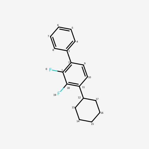 Fc1c(-c2ccccc2)ccc(C2CCCCC2)c1F